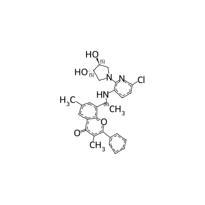 Cc1cc([C@@H](C)Nc2ccc(Cl)nc2N2C[C@H](O)[C@@H](O)C2)c2oc(-c3ccccc3)c(C)c(=O)c2c1